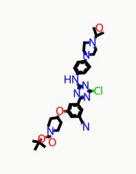 CC(C)(C)OC(=O)N1CCC(Oc2cc(C#N)cc(-c3nc(Cl)nc(Nc4ccc(N5CCN(C6COC6)CC5)cc4)n3)c2)CC1